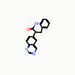 NC(=O)C(Cc1ccccc1)c1ccc2ncncc2c1